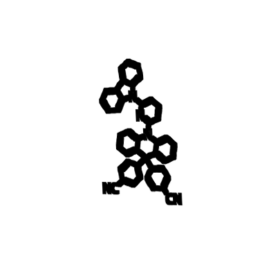 N#Cc1ccc(C2(c3ccc(C#N)cc3)c3ccccc3N(c3cccc(-n4c5ccccc5c5ccccc54)n3)c3ccccc32)cc1